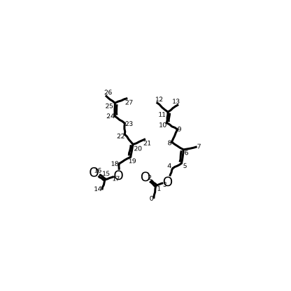 CC(=O)OCC=C(C)CCC=C(C)C.CC(=O)OCC=C(C)CCC=C(C)C